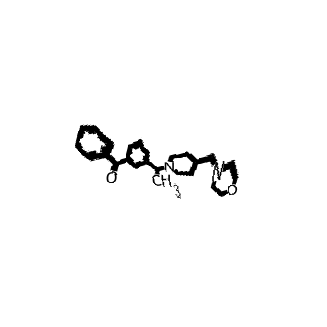 CC(c1cccc(C(=O)c2ccccc2)c1)N1CCC(CN2CCOCC2)CC1